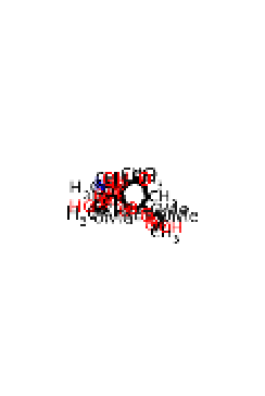 CCC1OC(=O)CC(O)C(C)C(OC2OC(C)C(OC3CC(C)(O)C(OC)C(C)O3)C(N(C)C)C2O)C(CC=O)CC(C)C(=O)/C=C/C(C)=C/C1COC1OC(C)C(O)C(OC)C1OC